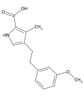 COc1cccc(CCc2c[nH]c(C(=O)O)c2C)c1